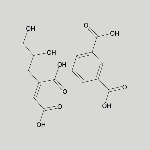 O=C(O)/C=C(/CC(O)CO)C(=O)O.O=C(O)c1cccc(C(=O)O)c1